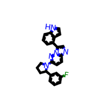 Fc1cccc(C2CCCN2c2ccc3ncc(-c4cccc5[nH]ccc45)n3n2)c1